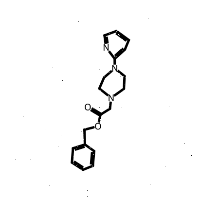 O=C(CN1CCN(c2ccccn2)CC1)OCc1ccccc1